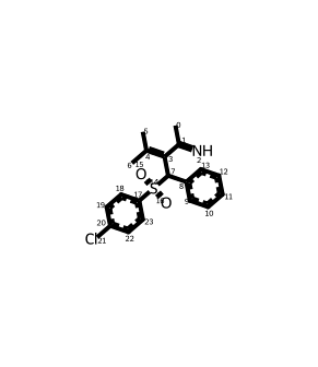 CC(=N)C(=C(C)C)C(c1ccccc1)S(=O)(=O)c1ccc(Cl)cc1